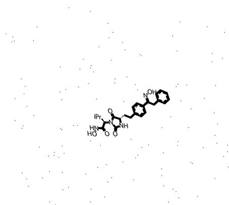 CC(C)[C@H](C(=O)NO)N1C(=O)N[C@@H](CCc2ccc(C(Cc3ccccc3)=NO)cc2)C1=O